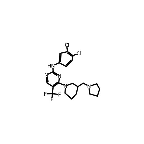 FC(F)(F)c1cnc(Nc2ccc(Cl)c(Cl)c2)nc1N1CCCC(CN2CCCC2)C1